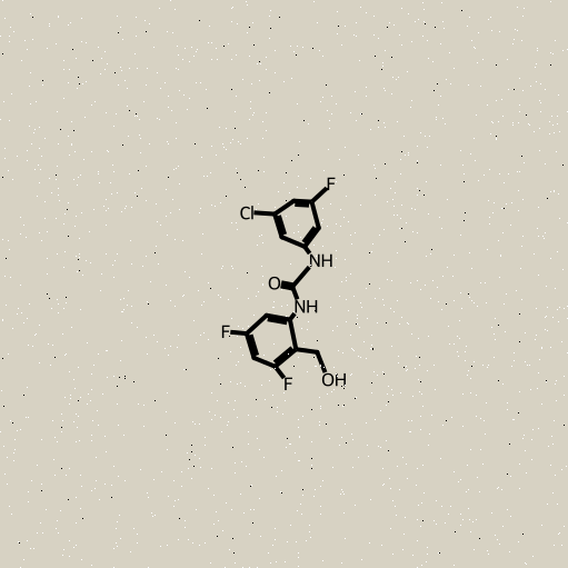 O=C(Nc1cc(F)cc(Cl)c1)Nc1cc(F)cc(F)c1CO